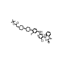 CN([SH]=O)c1ccccc1Nc1nc(Nc2ccc(N3CCC(N4CCN(CC(=O)OC(C)(C)C)CC4)CC3)c(F)c2)ncc1Cl